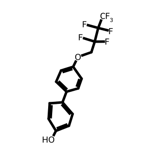 Oc1ccc(-c2ccc(OCC(F)(F)C(F)(F)C(F)(F)F)cc2)cc1